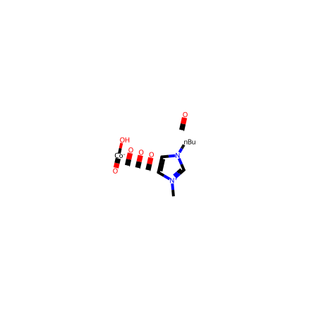 CCCCn1cc[n+](C)c1.[C]=O.[C]=O.[C]=O.[C]=O.[O]=[Co-][OH]